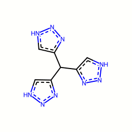 c1[nH]nnc1C(c1c[nH]nn1)c1c[nH]nn1